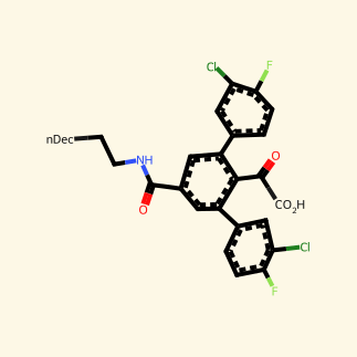 CCCCCCCCCCCCNC(=O)c1cc(-c2ccc(F)c(Cl)c2)c(C(=O)C(=O)O)c(-c2ccc(F)c(Cl)c2)c1